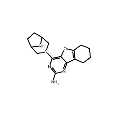 Nc1nc(N2CC3CCC(C2)N3)c2oc3c(c2n1)CCCC3